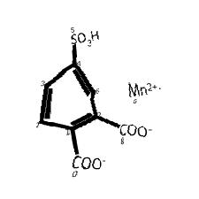 O=C([O-])c1ccc(S(=O)(=O)O)cc1C(=O)[O-].[Mn+2]